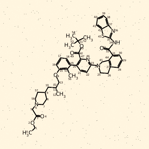 CCOC(=O)CN1CCC(C[C@H](C)COc2cccc(-c3ccc(N4CCc5cccc(C(=O)Nc6nc7ccccc7s6)c5C4)nc3C(=O)OC(C)(C)C)c2C)CC1